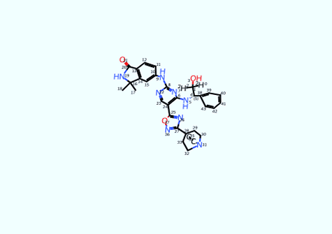 [2H]C([2H])(O)[C@@H](Nc1nc(Nc2ccc3c(c2)C(C)(C)NC3=O)ncc1-c1nc(C23CCN(CC2)CC3)no1)c1ccccc1